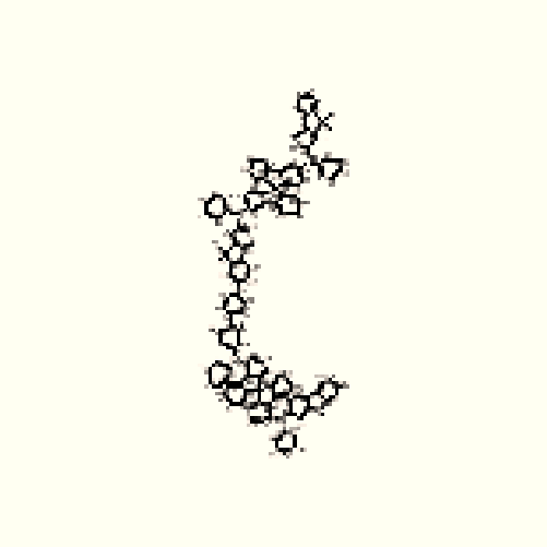 CC1(C)c2ccccc2-c2ccc(N(c3ccccc3)c3ccc4c(c3)-c3ccccc3C43c4ccccc4-c4cc(N(c5ccccc5)c5ccc6c(c5)C(C)(C)c5cc(-c7ccc8c(c7)oc7cc(N(c9ccccc9)c9cccc%10c9-c9ccccc9C%109c%10ccccc%10-c%10c(N(c%11ccccc%11)c%11ccc%12c(c%11)oc%11ccccc%11%12)cccc%109)ccc78)ccc5-6)ccc43)cc21